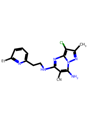 CCc1cccc(CCNc2nc3c(Cl)c(C)nn3c(N)c2C#N)n1